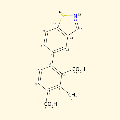 Cc1c(C(=O)O)ccc(-c2ccc3sncc3c2)c1C(=O)O